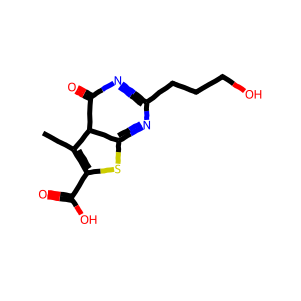 CC1=C(C(=O)O)SC2=NC(CCCO)=NC(=O)C21